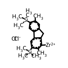 Cc1cc2c(cc1[Si](C)(C)C)-c1cc([Si](C)(C)C)c(C)[c]([Zr+2])c1C2.[Cl-].[Cl-]